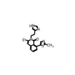 CCc1cc2cccc(-c3cnc(C)s3)c2c(=O)n1CCc1c[nH]cn1